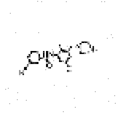 Cc1c(CN2CCN(C)CC2)cc(Cl)cc1NC(=O)c1cccc(C#N)c1